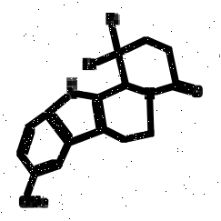 CCC1(CC)CCC(=O)N2CCc3c([nH]c4ccc(OC)cc34)C21